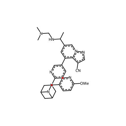 COc1ccc(CN2C3CC2CN(c2ccc(-c4cc(C(C)NCN(C)C)cn5ncc(C#N)c45)cn2)C3)cn1